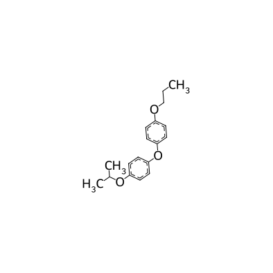 CCCOc1ccc(Oc2ccc(OC(C)C)cc2)cc1